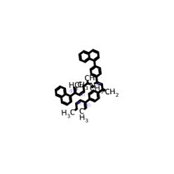 C=C(/C=C(/c1ccc(-c2cccc3ccccc23)cc1)N(C)C(C)C(C)/C=C\C(=C/C)c1cccc2ccccc12)c1ccc(C(/C=C\CC)=C/C)cc1